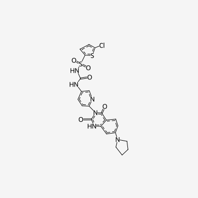 O=C(Nc1ccc(-n2c(=O)[nH]c3cc(N4CCCC4)ccc3c2=O)nc1)NS(=O)(=O)c1ccc(Cl)s1